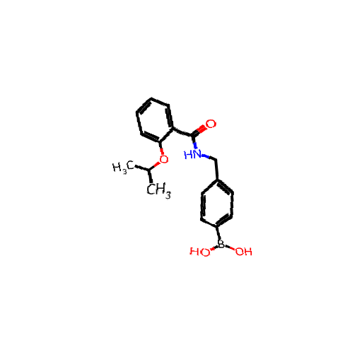 CC(C)Oc1ccccc1C(=O)NCc1ccc(B(O)O)cc1